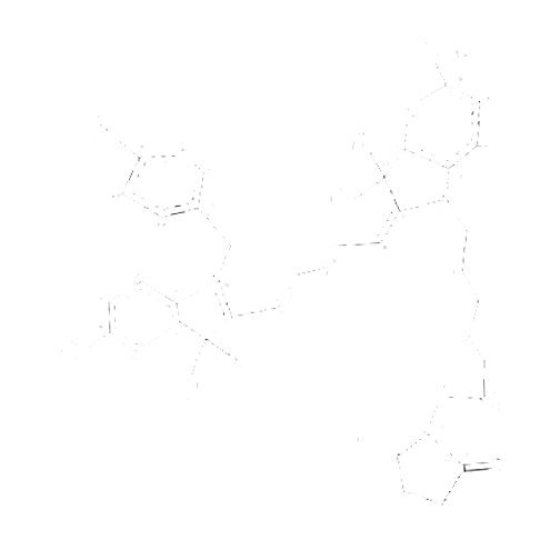 CC1(C)C(/C=C/C=C/C=C2/N(CCCCCC(=O)ON3C(=O)CCC3=O)c3ccc(S(=O)(=O)O)cc3C2(C)C)=[N+](Cc2ccc([N+](=O)[O-])cc2)c2ccc(S(=O)(=O)O)cc21